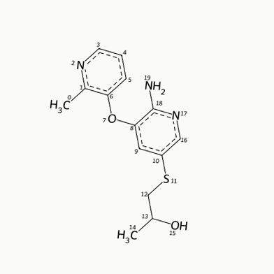 Cc1ncccc1Oc1cc(SCC(C)O)cnc1N